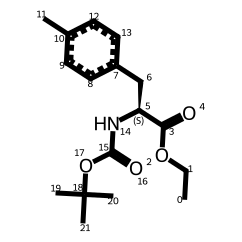 CCOC(=O)[C@H](Cc1ccc(C)cc1)NC(=O)OC(C)(C)C